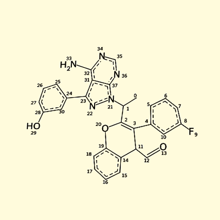 CC(C1=C(c2cccc(F)c2)C(C=O)c2ccccc2O1)n1nc(-c2cccc(O)c2)c2c(N)ncnc21